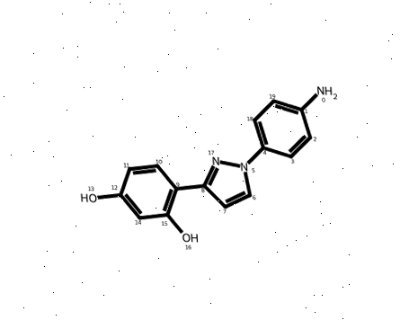 Nc1ccc(-n2ccc(-c3ccc(O)cc3O)n2)cc1